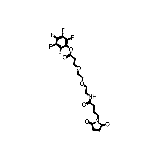 O=C(CCCN1C(=O)C=CC1=O)NCCOCCOCCC(=O)Oc1c(F)c(F)c(F)c(F)c1F